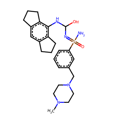 CN1CCN(Cc2cccc(S(N)(=O)=NC(O)Nc3c4c(cc5c3CCC5)CCC4)c2)CC1